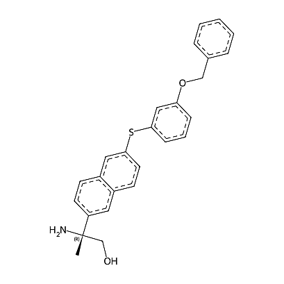 C[C@](N)(CO)c1ccc2cc(Sc3cccc(OCc4ccccc4)c3)ccc2c1